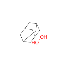 C1C2CC3CC1CC(C2)C3.OO